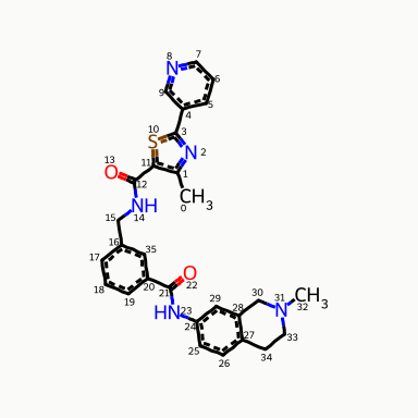 Cc1nc(-c2cccnc2)sc1C(=O)NCc1cccc(C(=O)Nc2ccc3c(c2)CN(C)CC3)c1